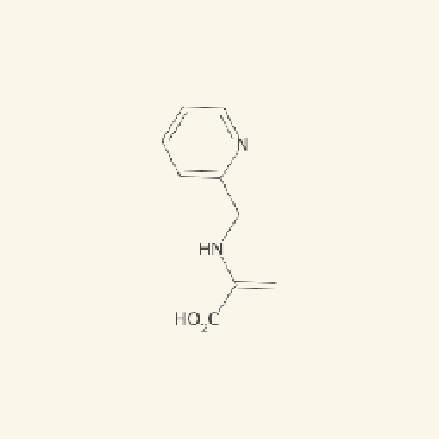 C=C(NCc1ccccn1)C(=O)O